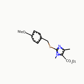 CCOC(=O)c1c(C)nc(SCc2ccc(OC)cc2)n1C